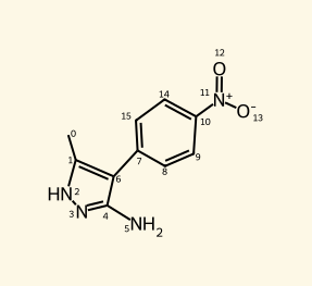 Cc1[nH]nc(N)c1-c1ccc([N+](=O)[O-])cc1